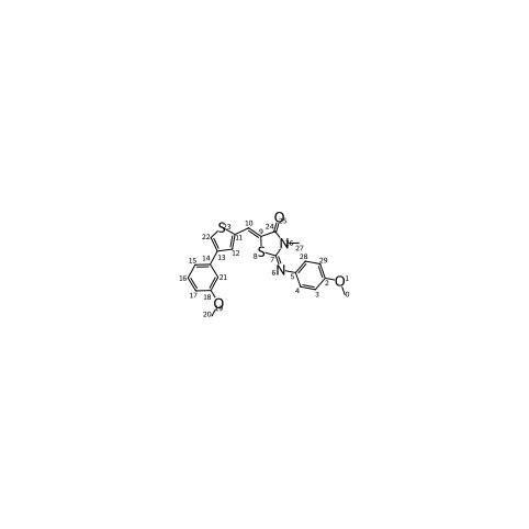 COc1ccc(/N=C2/S/C(=C\c3cc(-c4cccc(OC)c4)cs3)C(=O)N2C)cc1